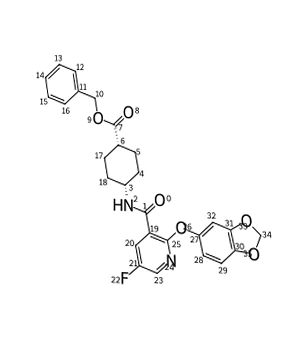 O=C(N[C@H]1CC[C@@H](C(=O)OCc2ccccc2)CC1)c1cc(F)cnc1Oc1ccc2c(c1)OCO2